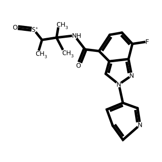 CC([S+]=O)C(C)(C)NC(=O)c1ccc(F)c2nn(-c3cccnc3)cc12